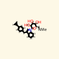 CNC[C@H]1O[C@@H](n2cc(Cc3ccc(C4CC4)cc3)c3ccccc32)[C@H](O)[C@@H](O)[C@@H]1O